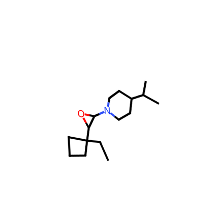 CCC1(C2OC2N2CCC(C(C)C)CC2)CCC1